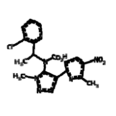 Cc1nc(-c2cnn(C)c2N(C(=O)O)C(C)c2ccccc2Cl)ccc1[N+](=O)[O-]